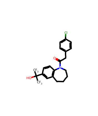 O=C(Cc1ccc(Cl)cc1)N1CCCCc2cc(C(O)(C(F)(F)F)C(F)(F)F)ccc21